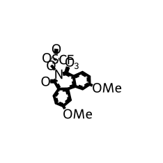 COc1ccc2c(=O)n(OS(=O)(=O)C(F)(F)F)c(=O)c3ccc(OC)cc3c2c1